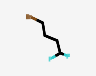 F[C](F)CCCBr